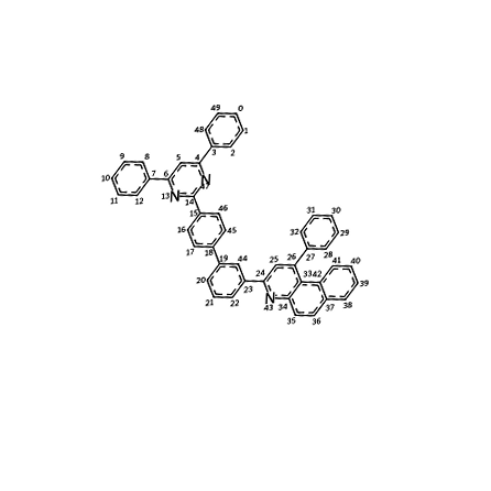 c1ccc(-c2cc(-c3ccccc3)nc(-c3ccc(-c4cccc(-c5cc(-c6ccccc6)c6c(ccc7ccccc76)n5)c4)cc3)n2)cc1